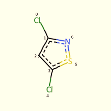 Clc1[c]c(Cl)sn1